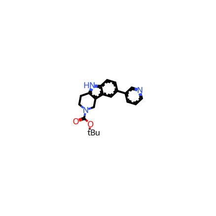 CC(C)(C)OC(=O)N1CCc2[nH]c3ccc(-c4cccnc4)cc3c2C1